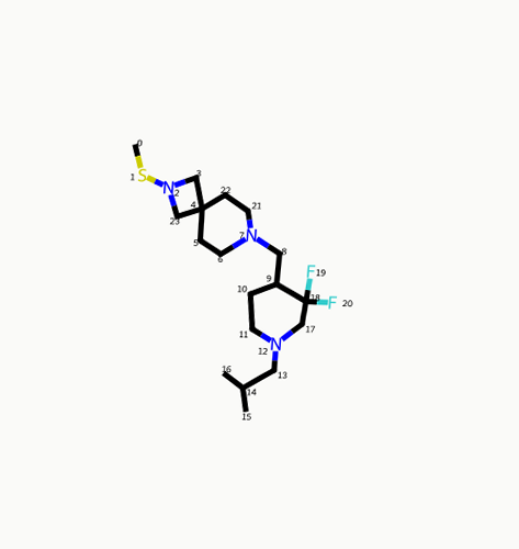 CSN1CC2(CCN(CC3CCN(CC(C)C)CC3(F)F)CC2)C1